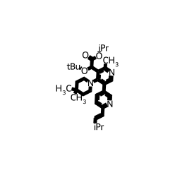 Cc1ncc(-c2ccc(C=CC(C)C)nc2)c(N2CCC(C)(C)CC2)c1C(OC(C)(C)C)C(=O)OC(C)C